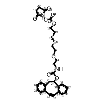 O=C(NCCOCCSSCCOC(=O)ON1C(=O)CCC1=O)OC1Cc2ccccc2C#Cc2ccccc21